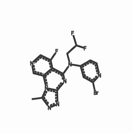 Cc1nnc2nc(N(CC(F)F)c3ccnc(Br)c3)c3c(F)cncc3n12